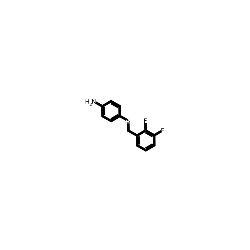 Nc1ccc(SCc2cccc(F)c2F)cc1